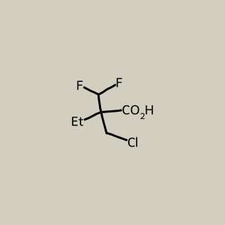 CCC(CCl)(C(=O)O)C(F)F